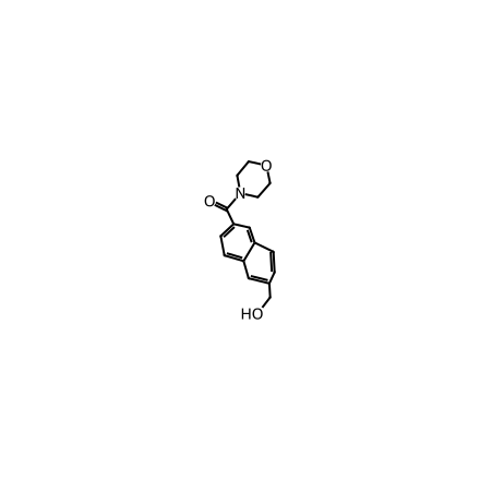 O=C(c1ccc2cc(CO)ccc2c1)N1CCOCC1